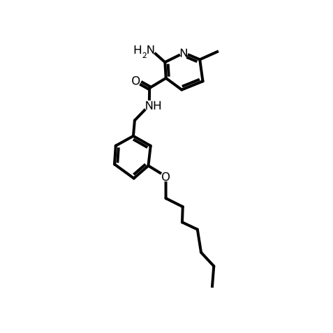 CCCCCCCOc1cccc(CNC(=O)c2ccc(C)nc2N)c1